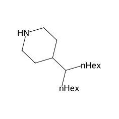 CCCCCCC(CCCCCC)C1CCNCC1